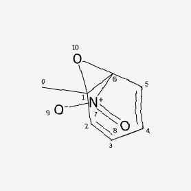 CC12C=CC=CC1([N+](=O)[O-])O2